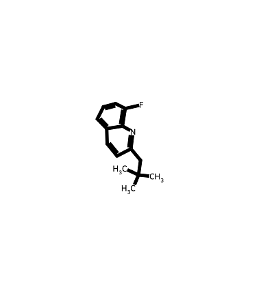 CC(C)(C)Cc1ccc2cccc(F)c2n1